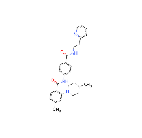 Cc1ccc(C(=O)Nc2ccc(C(=O)NCCc3ccccn3)cc2)c(N2CCC(C)CC2)c1